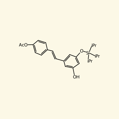 CC(=O)Oc1ccc(/C=C/c2cc(O)cc(O[Si](C(C)C)(C(C)C)C(C)C)c2)cc1